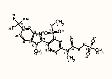 CCS(=O)(=O)c1cc(N(C)C(=O)CCS(C)(=O)=O)cnc1-c1nc2cc(C(F)(F)F)ncc2n1C